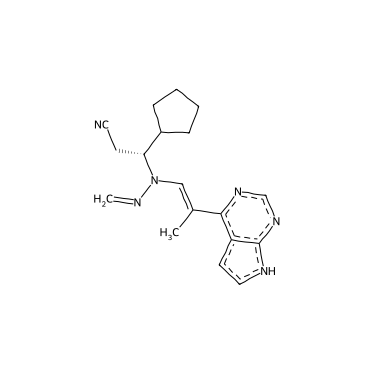 C=NN(/C=C(\C)c1ncnc2[nH]ccc12)[C@H](CC#N)C1CCCC1